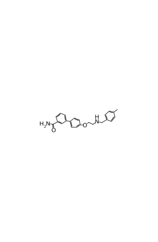 Cc1ccc(CNCCOc2ccc(-c3cccc(C(N)=O)c3)cc2)cc1